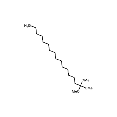 COC(CCCCCCCCCCCCCC[SiH3])(OC)OC